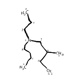 CCCN(CCC)CC(C)CC